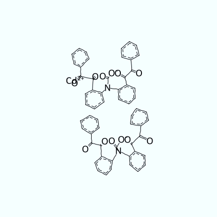 O=C(C(=O)c1ccccc1N(C(=O)[O-])c1ccccc1C(=O)C(=O)c1ccccc1)c1ccccc1.O=C(C(=O)c1ccccc1N(C(=O)[O-])c1ccccc1C(=O)C(=O)c1ccccc1)c1ccccc1.[Cd+2]